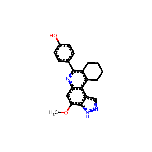 COc1cc2nc(-c3ccc(O)cc3)c3c(c2c2cn[nH]c12)CCCC3